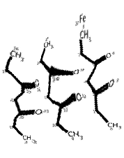 CCC(=O)CC(=O)CC.CCC(=O)CC(=O)CC.CCC(=O)CC(=O)CC.[Fe]